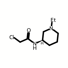 CCN1CCC[C@@H](NC(=O)CCl)C1